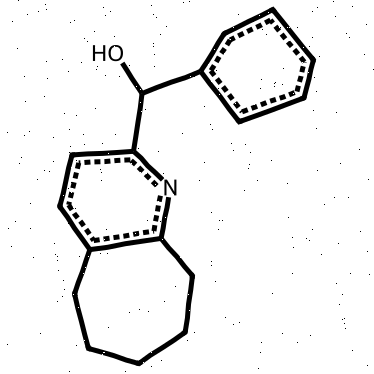 OC(c1ccccc1)c1ccc2c(n1)CCCCC2